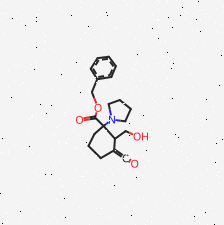 O=C=C1CCCC(C(=O)OCc2ccccc2)(N2CCCC2)C1CO